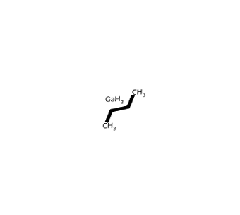 CCCC.[GaH3]